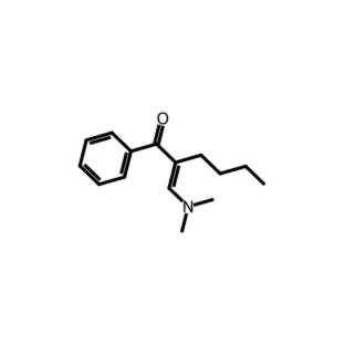 CCCCC(=CN(C)C)C(=O)c1ccccc1